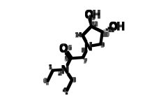 [CH2]CN(C[CH2])C(=O)CN1C[C@@H](O)[C@H](O)C1